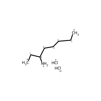 CCCCCC(N)CC.Cl.Cl